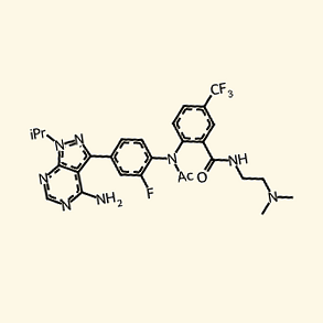 CC(=O)N(c1ccc(-c2nn(C(C)C)c3ncnc(N)c23)cc1F)c1ccc(C(F)(F)F)cc1C(=O)NCCN(C)C